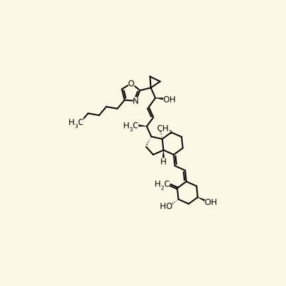 C=C1/C(=C\C=C2/CCC[C@]3(C)[C@@H]([C@@H](C)/C=C/[C@H](O)C4(c5nc(CCCCC)co5)CC4)CC[C@@H]23)C[C@@H](O)C[C@@H]1O